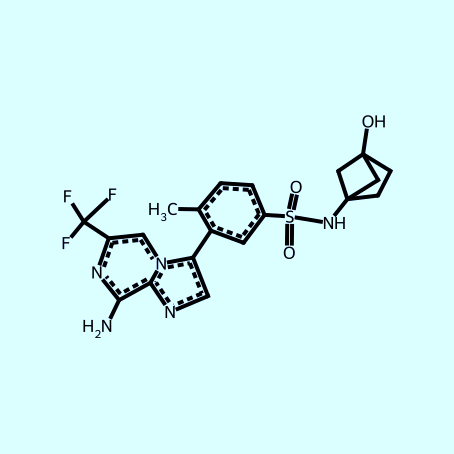 Cc1ccc(S(=O)(=O)NC23CCC(O)(C2)C3)cc1-c1cnc2c(N)nc(C(F)(F)F)cn12